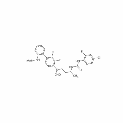 CSNc1ccccc1-c1ccc(N(C=O)CCC(C)NC(=O)Nc2ncc(Cl)cc2F)c(F)c1F